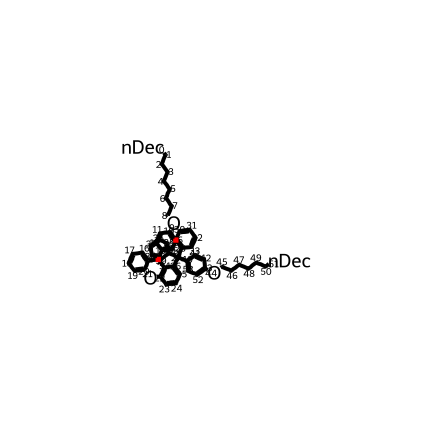 CCCCCCCCCCCCCCCCCCOc1ccc([C]2c3ccccc3Oc3cccc(C(c4ccccc4)(c4ccccc4)c4ccc(OCCCCCCCCCCCCCCCC)cc4)c32)cc1